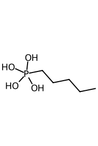 CCCCCP(O)(O)(O)O